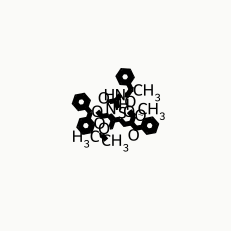 COC(=O)C(CC1S[C@H]2C(NC(=O)C(C)c3ccccc3)C(=O)N2C(C(=O)OC(c2ccccc2)c2ccccc2)=C1COC(C)C)C(=O)c1ccccc1